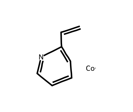 C=Cc1ccccn1.[Co]